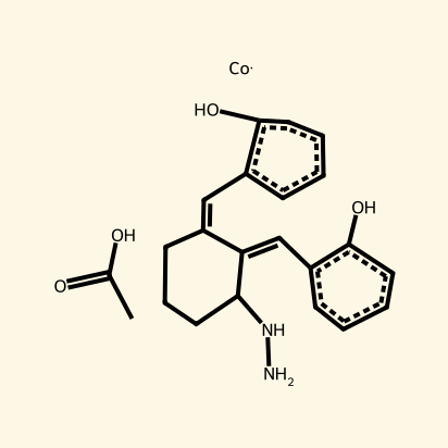 CC(=O)O.NNC1CCCC(=Cc2ccccc2O)C1=Cc1ccccc1O.[Co]